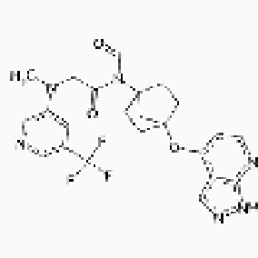 CN(CC(=O)N(C=O)C12CCC(Oc3ccnc4[nH]ncc34)(CC1)C2)c1cncc(C(F)(F)F)c1